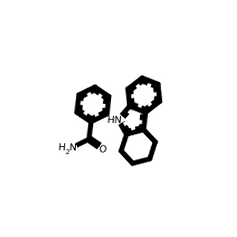 NC(=O)c1ccccc1.c1ccc2c3c([nH]c2c1)CCCC3